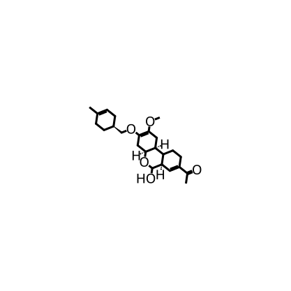 COC1=C(OC[C@@H]2CC=C(C)CC2)C[C@@H]2OC(O)[C@@H]3C=C(C(C)=O)CCC3[C@@H]2C1